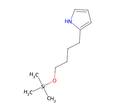 C[Si](C)(C)OCCCCc1ccc[nH]1